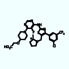 C[C@@H]1CCCN1Cc1sc(Nc2ncnc(N3CCC(OCC(=O)O)CC3)c2F)nc1-c1cc(Cl)cc(C(F)(F)F)c1